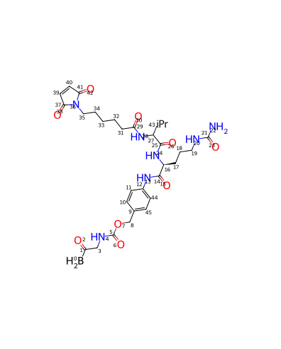 BC(=O)CNC(=O)OCc1ccc(NC(=O)[C@H](CCCNC(N)=O)NC(=O)C(NC(=O)CCCCCN2C(=O)C=CC2=O)C(C)C)cc1